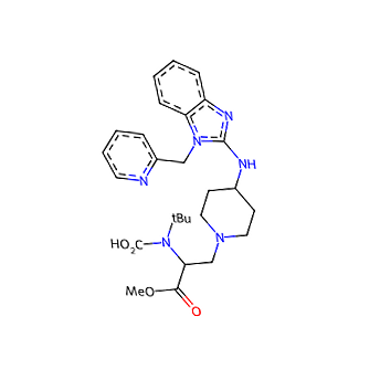 COC(=O)C(CN1CCC(Nc2nc3ccccc3n2Cc2ccccn2)CC1)N(C(=O)O)C(C)(C)C